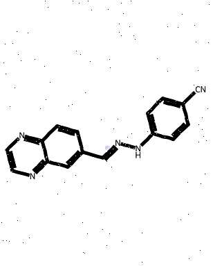 N#Cc1ccc(N/N=C/c2ccc3nccnc3c2)cc1